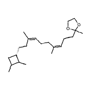 C/C(=C/CCC1(C)OCCO1)CC/C=C(/C)CC[C@H]1CC(C)C1C